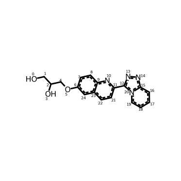 OCC(O)COc1ccc2nc(-c3nnc4ccccn34)ccc2c1